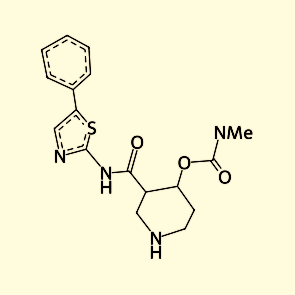 CNC(=O)OC1CCNCC1C(=O)Nc1ncc(-c2ccccc2)s1